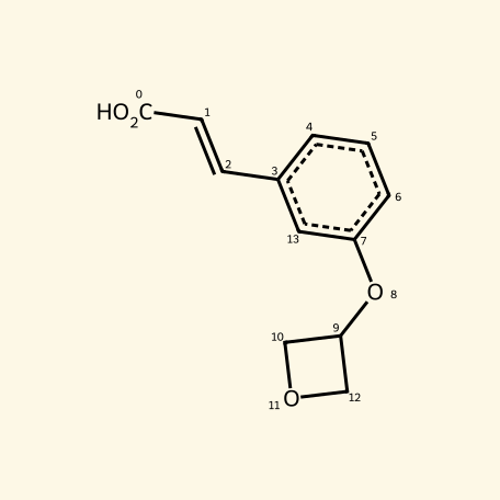 O=C(O)/C=C/c1cccc(OC2COC2)c1